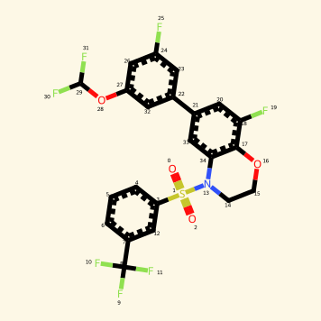 O=S(=O)(c1cccc(C(F)(F)F)c1)N1CCOc2c(F)cc(-c3cc(F)cc(OC(F)F)c3)cc21